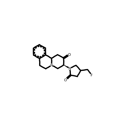 O=C1CC2c3ccccc3CCN2C[C@@H]1N1CC(CF)CC1=O